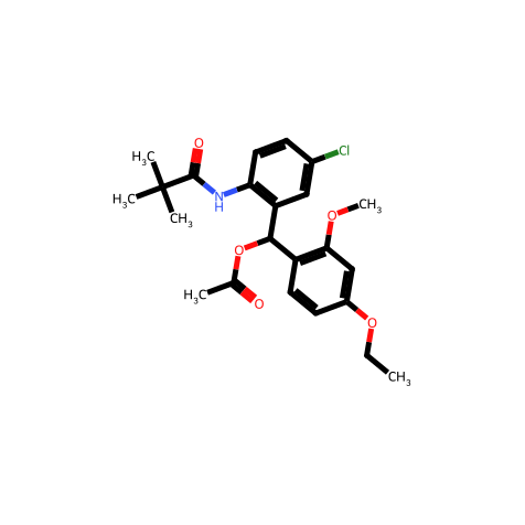 CCOc1ccc(C(OC(C)=O)c2cc(Cl)ccc2NC(=O)C(C)(C)C)c(OC)c1